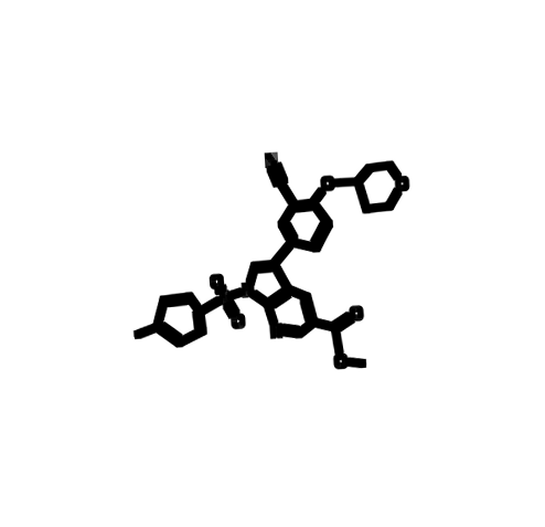 COC(=O)c1cnc2c(c1)c(-c1ccc(OC3CCOCC3)c(C#N)c1)cn2S(=O)(=O)c1ccc(C)cc1